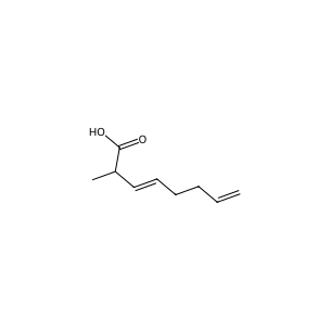 C=CCCC=CC(C)C(=O)O